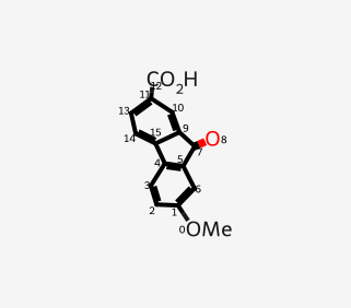 COc1ccc2c(c1)C(=O)c1cc(C(=O)O)ccc1-2